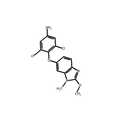 COc1nc2ccc(Oc3c(Cl)cc(N)cc3Cl)cc2n1C